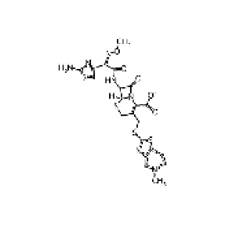 CO/N=C(\C(=O)NC1C(=O)N2C(C(=O)[O-])=C(CSc3nc4c[n+](C)ccc4s3)CS[C@@H]12)c1csc(N)n1